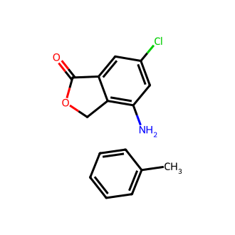 Cc1ccccc1.Nc1cc(Cl)cc2c1COC2=O